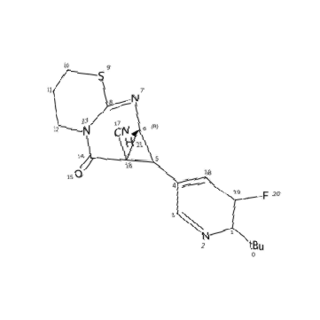 CC(C)(C)C1N=CC(C2[C@H]3N=C4SCCCN4C(=O)C23C#N)=CC1F